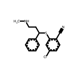 CNCCC(Sc1cc(Cl)ccc1C#N)c1ccccc1